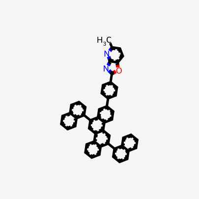 Cc1ccc2oc(-c3ccc(-c4ccc5c(c4)c(-c4cccc6ccccc46)cc4c6ccccc6c(-c6cccc7ccccc67)cc54)cc3)nc2n1